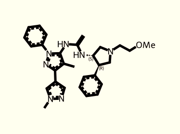 C=C(Nc1c(C)c(-c2cnn(C)c2)nn1-c1ccccc1)N[C@@H]1CN(CCOC)C[C@H]1c1ccccc1